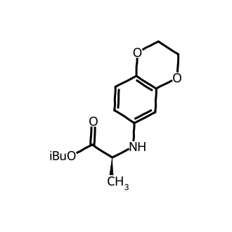 CC(C)COC(=O)[C@H](C)Nc1ccc2c(c1)OCCO2